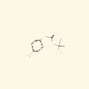 CC(C)(C#N)OC(=O)Oc1ccc([N+](=O)[O-])cc1